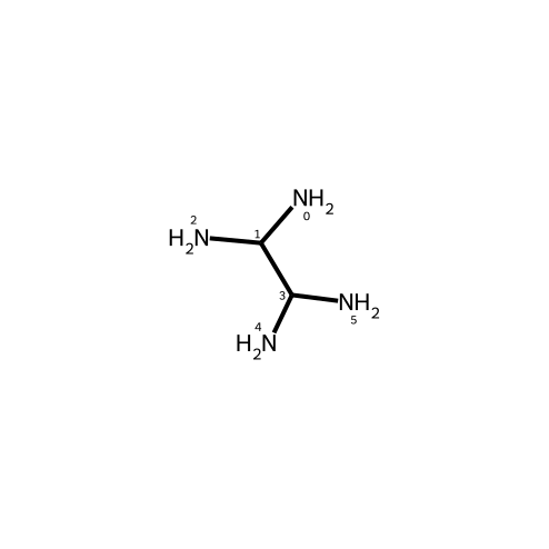 NC(N)C(N)N